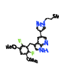 COc1cc(OC)c(F)c(Cc2c[nH]c3ncc(-c4cnn(CCSC)c4)cc23)c1F